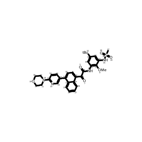 COc1c(NC(=O)C(=O)c2ccc(-c3ccc(N4CCOCC4)nc3)c3ccccc23)cc(C(C)(C)C)cc1NS(C)(=O)=O